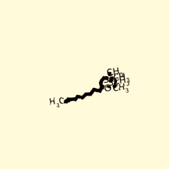 CC=CCCCCCCCC1CC[Si](C)(C)[Si](C)(C)O1